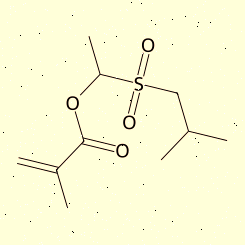 C=C(C)C(=O)OC(C)S(=O)(=O)CC(C)C